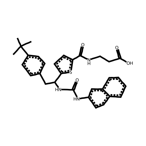 CC(C)(C)c1ccc(CC(NC(=O)Nc2ccc3ccccc3c2)c2ccc(C(=O)NCCC(=O)O)s2)cc1